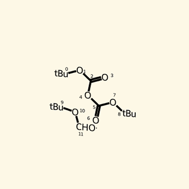 CC(C)(C)OC(=O)OC(=O)OC(C)(C)C.CC(C)(C)O[C]=O